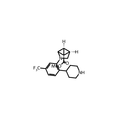 COC(=O)[C@@]12C3[C@H]1[C@H]2CN3c1cc(C(F)(F)F)ccc1C1CCNCC1